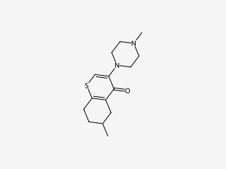 CC1CCc2scc(N3CCN(C)CC3)c(=O)c2C1